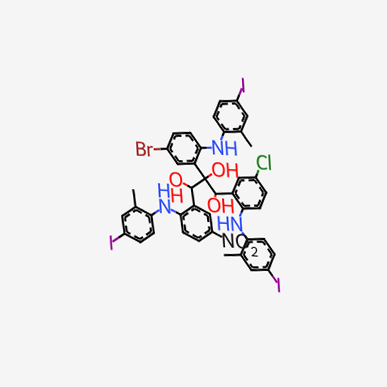 Cc1cc(I)ccc1Nc1ccc(Cl)cc1C(O)C(O)(c1cc(Br)ccc1Nc1ccc(I)cc1C)C(O)c1cc([N+](=O)[O-])ccc1Nc1ccc(I)cc1C